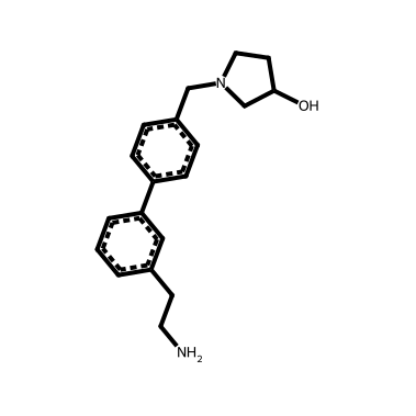 NCCc1cccc(-c2ccc(CN3CCC(O)C3)cc2)c1